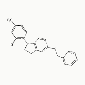 FC(F)(F)c1ccc(C2CCc3cc(SCc4ccccc4)ccc32)c(Cl)c1